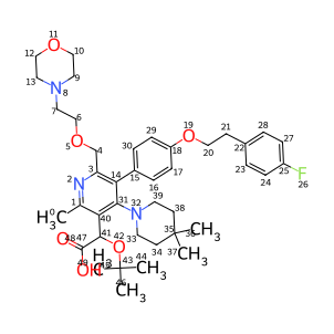 Cc1nc(COCCN2CCOCC2)c(-c2ccc(OCCc3ccc(F)cc3)cc2)c(N2CCC(C)(C)CC2)c1C(OC(C)(C)C)C(=O)O